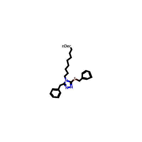 CCCCCCCCCCCCCCCCCCn1c(Cc2ccccc2)nnc1SCc1ccccc1